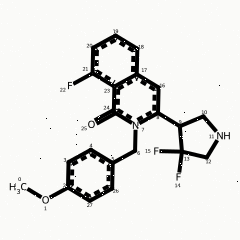 COc1ccc(Cn2c(C3CNCC3(F)F)cc3cccc(F)c3c2=O)cc1